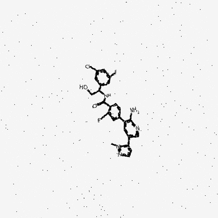 Cn1nccc1-c1cnc(N)c(-c2ccc(C(=O)NC(CO)c3cc(F)cc(Cl)c3)c(F)c2)c1